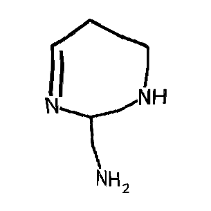 NC1N=CCCN1